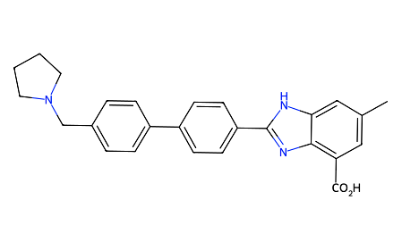 Cc1cc(C(=O)O)c2nc(-c3ccc(-c4ccc(CN5CCCC5)cc4)cc3)[nH]c2c1